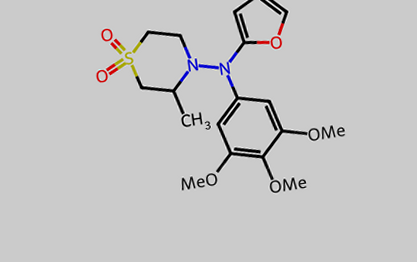 COc1cc(N(c2ccco2)N2CCS(=O)(=O)CC2C)cc(OC)c1OC